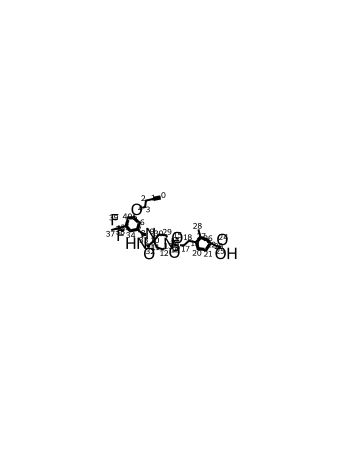 C#CCCOc1cc(C2=NC3(CCN(S(=O)(=O)CCc4ccc(C(=O)O)cc4C)CC3)C(=O)N2)cc(C(C)(F)F)c1